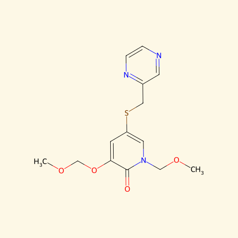 COCOc1cc(SCc2cnccn2)cn(COC)c1=O